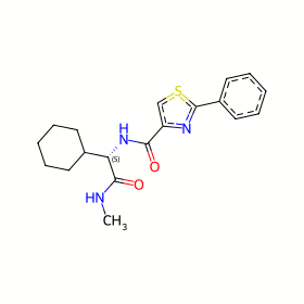 CNC(=O)[C@@H](NC(=O)c1csc(-c2ccccc2)n1)C1CCCCC1